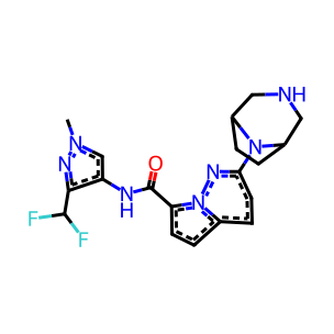 Cn1cc(NC(=O)c2ccc3ccc(N4C5CCC4CNC5)nn23)c(C(F)F)n1